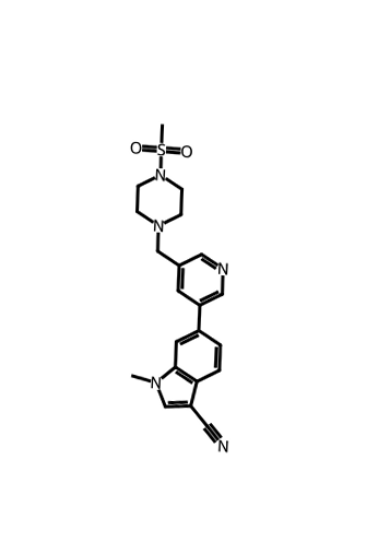 Cn1cc(C#N)c2ccc(-c3cncc(CN4CCN(S(C)(=O)=O)CC4)c3)cc21